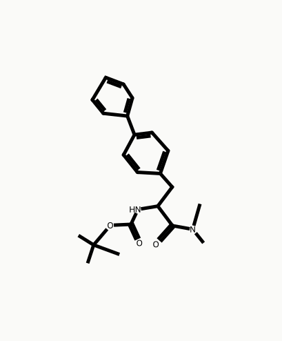 CN(C)C(=O)C(Cc1ccc(-c2ccccc2)cc1)NC(=O)OC(C)(C)C